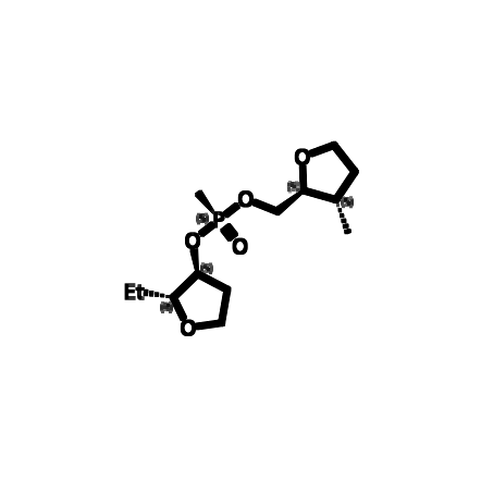 CC[C@H]1OCC[C@@H]1O[P@@](C)(=O)OC[C@H]1OCC[C@@H]1C